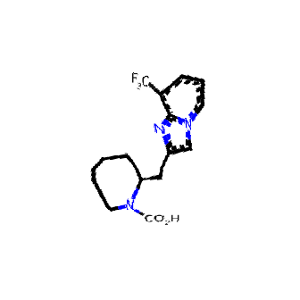 O=C(O)N1CCCC[C@H]1Cc1cn2cccc(C(F)(F)F)c2n1